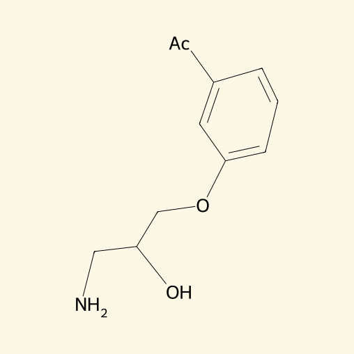 CC(=O)c1cccc(OCC(O)CN)c1